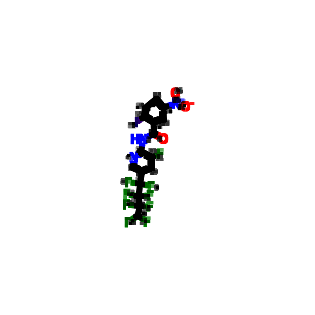 O=C(Nc1ncc(C(F)(F)C(F)(F)C(F)(F)C(F)F)cc1F)c1cc([N+](=O)[O-])ccc1I